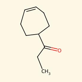 CCC(=O)C1CCC=CCC1